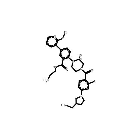 CCOc1ncccc1-c1ccc(N2CCN(C(=O)c3ccc(N4CCC(CN)C4)cc3F)C[C@H]2CC)c(C(=O)NCCN)c1